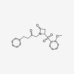 COc1ccccc1S(=O)(=O)C1CC(=O)N1CC(=O)CCc1ccccc1